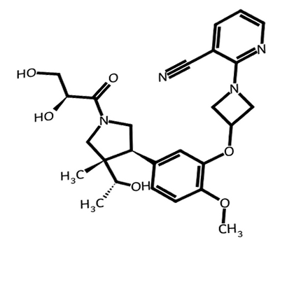 COc1ccc([C@@H]2CN(C(=O)[C@@H](O)CO)C[C@@]2(C)[C@@H](C)O)cc1OC1CN(c2ncccc2C#N)C1